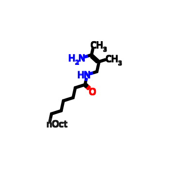 CCCCCCCCCCCCCC(=O)NCC(C)=C(C)N